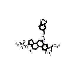 Cc1cc2c(cc1NS(=O)(=O)O)/C(=N/OCc1ccc3c(c1)=NCN=3)CC1C2CCC2(C)C(OS(N)(=O)=O)CCC12